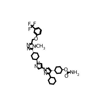 Cn1c(COc2cccc(C(F)(F)F)c2)nnc1[C@H]1CC[C@H](n2cc(-n3cc([C@H]4CC[C@H](OC(N)=O)CC4)c(C4CCCCC4)n3)cn2)CC1